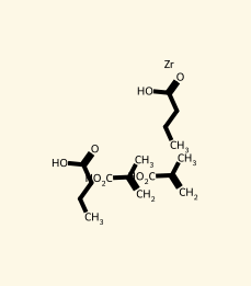 C=C(C)C(=O)O.C=C(C)C(=O)O.CCCC(=O)O.CCCC(=O)O.[Zr]